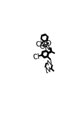 Cc1cn(S(=O)(=O)C2(Cl)C=CC=CC2)c2cc(Cl)cc(CN3CCN(C)C(C)C3)c12